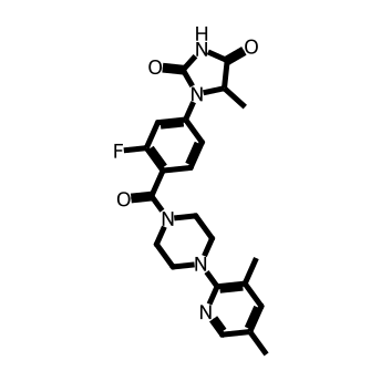 Cc1cnc(N2CCN(C(=O)c3ccc(N4C(=O)NC(=O)C4C)cc3F)CC2)c(C)c1